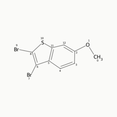 COc1ccc2c(Br)c(Br)sc2c1